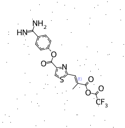 C/C(=C\c1nc(C(=O)Oc2ccc(C(=N)N)cc2)cs1)C(=O)OC(=O)C(F)(F)F